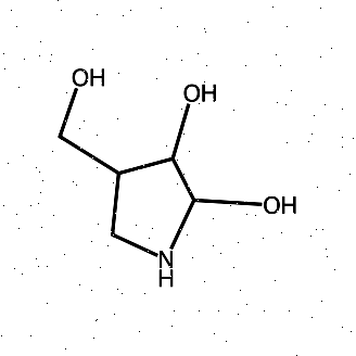 OCC1CNC(O)C1O